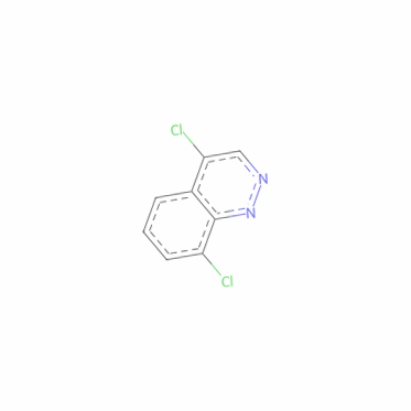 Clc1cnnc2c(Cl)cccc12